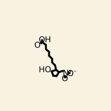 O=C(O)CCCCCCCC1C(O)CCC1C[N+](=O)[O-]